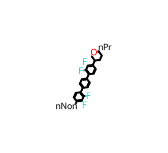 CCCCCCCCCc1ccc(-c2ccc(-c3ccc(C4CCC(CCC)OC4)c(F)c3F)cc2)c(F)c1F